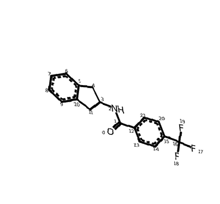 O=C(NC1Cc2ccccc2C1)c1ccc(C(F)(F)F)cc1